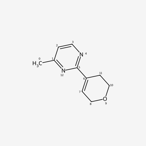 Cc1ccnc(C2=CCOCC2)n1